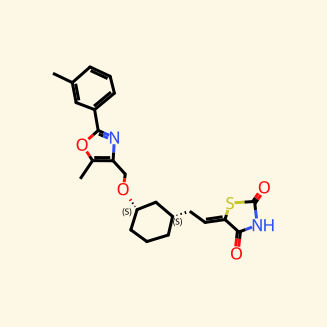 Cc1cccc(-c2nc(CO[C@H]3CCC[C@@H](CC=C4SC(=O)NC4=O)C3)c(C)o2)c1